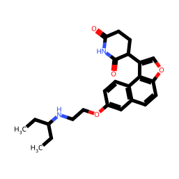 CCC(CC)NCCOc1ccc2c(ccc3occ(C4CCC(=O)NC4=O)c32)c1